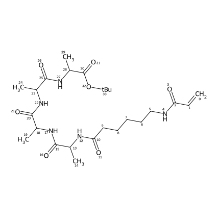 C=CC(=O)NCCCCCC(=O)NC(C)C(=O)NC(C)C(=O)NC(C)C(=O)NC(C)C(=O)OC(C)(C)C